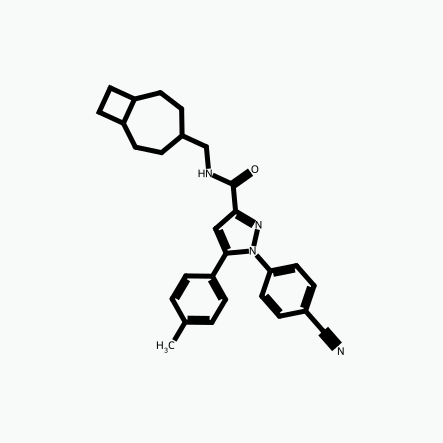 Cc1ccc(-c2cc(C(=O)NCC3CCC4CCC4CC3)nn2-c2ccc(C#N)cc2)cc1